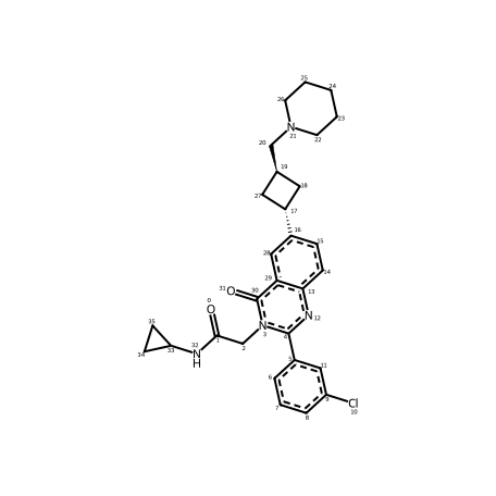 O=C(Cn1c(-c2cccc(Cl)c2)nc2ccc([C@H]3C[C@H](CN4CCCCC4)C3)cc2c1=O)NC1CC1